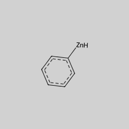 [ZnH][c]1ccccc1